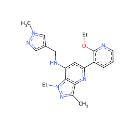 CCOc1ncccc1-c1cc(NCc2cnn(C)c2)c2c(n1)c(C)nn2CC